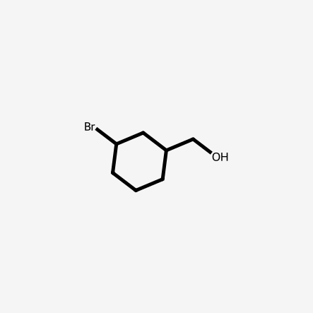 OCC1CCCC(Br)C1